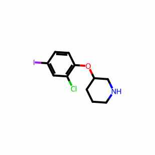 Clc1cc(I)ccc1OC1CCCNC1